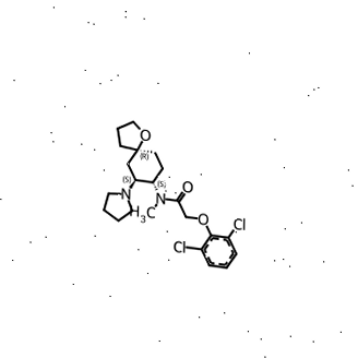 CN(C(=O)COc1c(Cl)cccc1Cl)[C@H]1CC[C@@]2(CCCO2)C[C@@H]1N1CCCC1